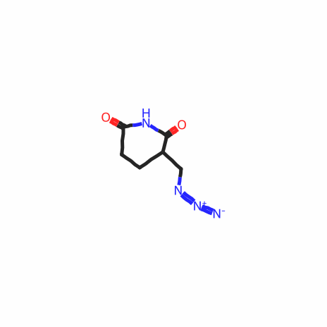 [N-]=[N+]=NCC1CCC(=O)NC1=O